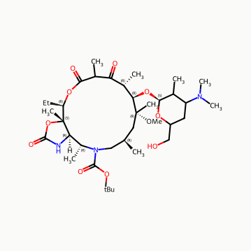 CC[C@H]1OC(=O)C(C)C(=O)[C@H](C)[C@@H](O[C@@H]2OC(CO)CC(N(C)C)C2C)[C@](C)(OC)C[C@@H](C)CN(C(=O)OC(C)(C)C)[C@H](C)[C@H]2NC(=O)O[C@@]21C